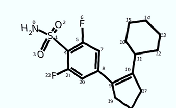 NS(=O)(=O)c1c(F)cc(C2=C(C3CCCCC3)CCC2)cc1F